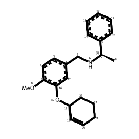 COc1ccc(CN[C@H](C)c2ccccc2)cc1OC1C=CCCC1